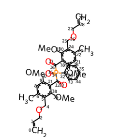 C=CCOCc1c(C)cc(OC)c(C(=O)P(=O)(C(=O)c2c(OC)cc(C)c(COCC=C)c2OC)c2ccccc2)c1OC